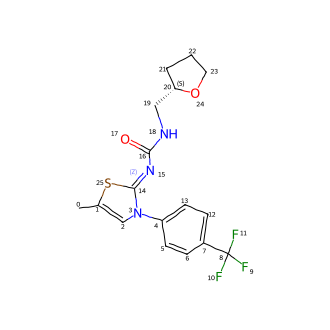 Cc1cn(-c2ccc(C(F)(F)F)cc2)/c(=N/C(=O)NC[C@@H]2CCCO2)s1